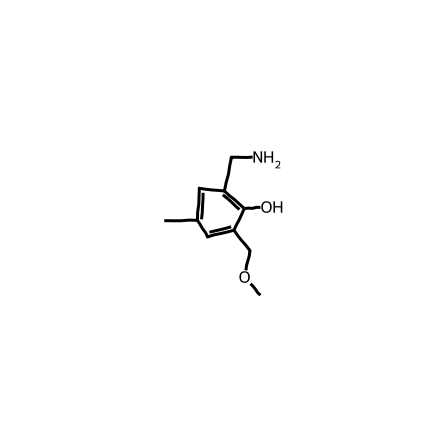 COCc1cc(C)cc(CN)c1O